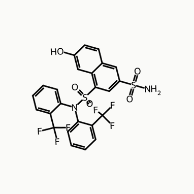 NS(=O)(=O)c1cc(S(=O)(=O)N(c2ccccc2C(F)(F)F)c2ccccc2C(F)(F)F)c2cc(O)ccc2c1